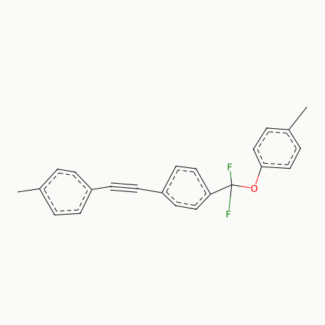 Cc1ccc(C#Cc2ccc(C(F)(F)Oc3ccc(C)cc3)cc2)cc1